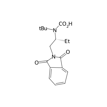 CC[C@H](CN1C(=O)c2ccccc2C1=O)N(C(=O)O)C(C)(C)C